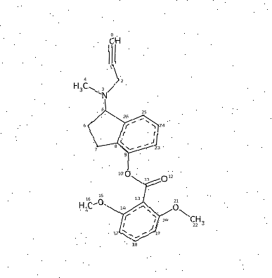 C#CCN(C)C1CCc2c(OC(=O)c3c(OC)cccc3OC)cccc21